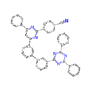 N#Cc1ccc(-c2nc(-c3ccccc3)cc(-c3cccc(-c4cccc(-c5nc(-c6ccccc6)nc(-c6ccccc6)n5)c4)c3)n2)cc1